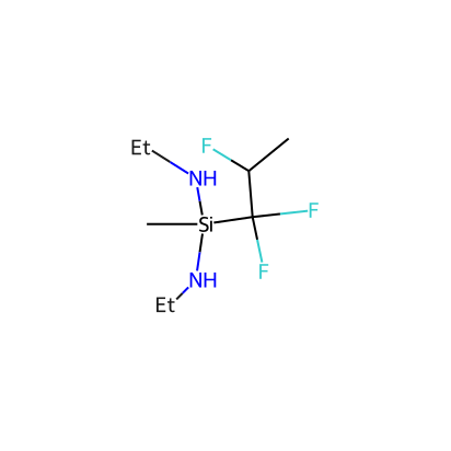 CCN[Si](C)(NCC)C(F)(F)C(C)F